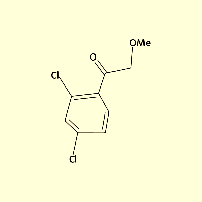 COCC(=O)c1ccc(Cl)cc1Cl